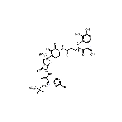 CC(C)(O/N=C(\C(=O)N[C@@H]1C(=O)N2C[C@@](C(=O)O)(N3CCN(NC(=O)CCNC(=O)/C(=N\O)c4ccc(O)c(O)c4Cl)C(=O)C3=O)SC12)c1csc(N)n1)C(=O)O